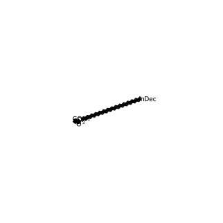 C=C(C(=O)O)C(=O)OCCCCCCCCCCCCCCCCCCCCCCCCCCCCCCCCCCCCCCCC